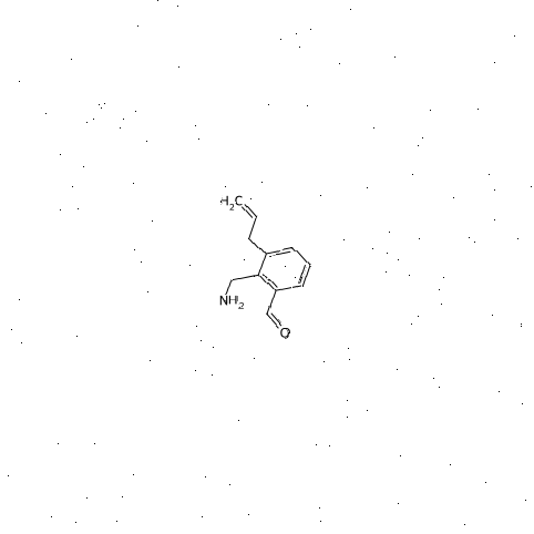 C=CCc1cccc(C=O)c1CN